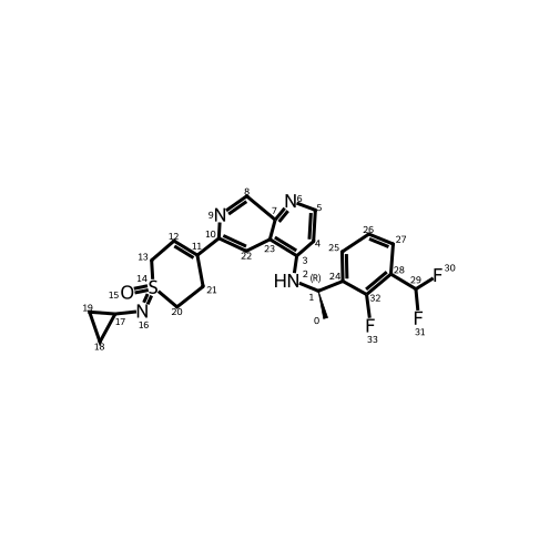 C[C@@H](Nc1ccnc2cnc(C3=CCS(=O)(=NC4CC4)CC3)cc12)c1cccc(C(F)F)c1F